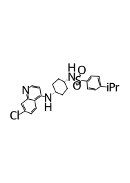 CC(C)c1ccc(S(=O)(=O)N[C@H]2CC[C@@H](Nc3ccnc4cc(Cl)ccc34)CC2)cc1